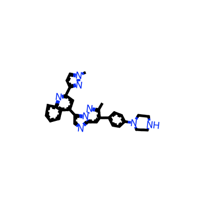 Cc1nn2c(-c3cc(-c4ccn(C)n4)nc4ccccc34)cnc2cc1-c1ccc(N2CCNCC2)cc1